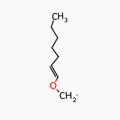 [CH2]OC=CCCCCC